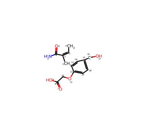 CC=C(C)C(N)=O.O=C(O)COc1ccc(CO)cc1